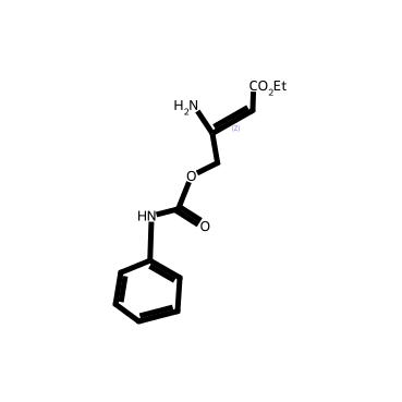 CCOC(=O)/C=C(\N)COC(=O)Nc1ccccc1